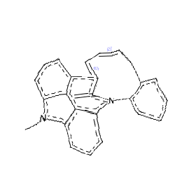 C=c1/c2c3cccc4c3c3c(cccc3n4C)n1-c1ccccc1C/C=C\C=2